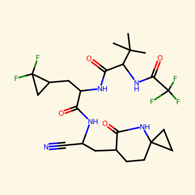 CC(C)(C)C(NC(=O)C(F)(F)F)C(=O)NC(CC1CC1(F)F)C(=O)NC(C#N)CC1CCC2(CC2)NC1=O